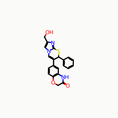 O=C1COc2ccc(C3=Cn4cc(CO)nc4SC3c3ccccc3)cc2N1